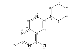 Cc1nc(Cl)c2cc(N3CCCCC3)ncc2n1